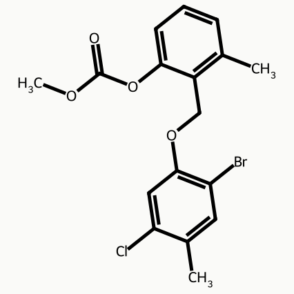 COC(=O)Oc1cccc(C)c1COc1cc(Cl)c(C)cc1Br